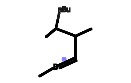 C/B=C/C(C)C(C)CCCC